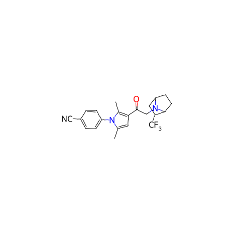 Cc1cc(C(=O)CN2C3CCC2C(C(F)(F)F)C3)c(C)n1-c1ccc(C#N)cc1